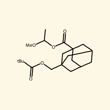 COC(C)OC(=O)C12CC3CC(CC(COC(=O)C(C)(C)C)(C3)C1)C2